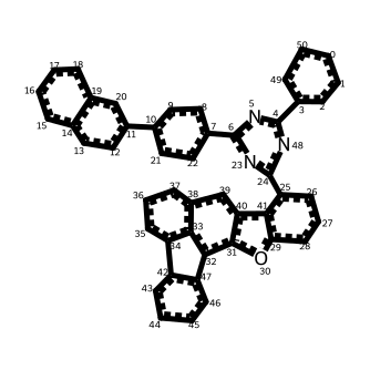 c1ccc(-c2nc(-c3ccc(-c4ccc5ccccc5c4)cc3)nc(-c3cccc4oc5c6c7c(cccc7cc5c34)-c3ccccc3-6)n2)cc1